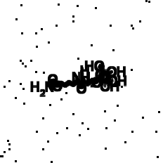 NC(=O)OCCCC[C@H](N)C(=O)NCCO[C@H]1O[C@H](CO)[C@@H](O)[C@H](O)[C@@H]1O